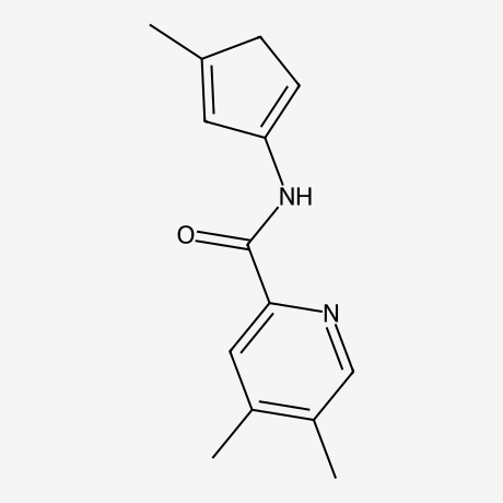 CC1=CC(NC(=O)c2cc(C)c(C)cn2)=CC1